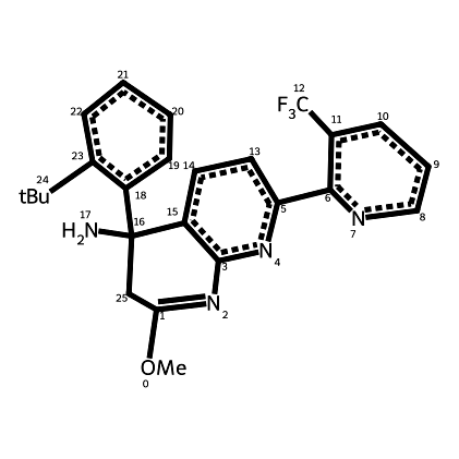 COC1=Nc2nc(-c3ncccc3C(F)(F)F)ccc2C(N)(c2ccccc2C(C)(C)C)C1